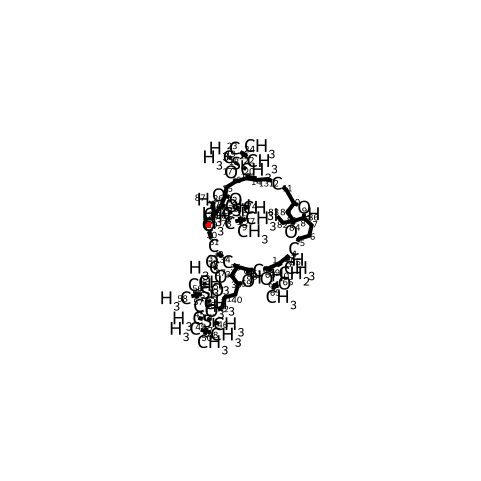 C=C1[C@H](C)CC2CC[C@@H]3OC(CCC/C=C/C(O[Si](C)(C)C(C)(C)C)C4O[C@H]5CCC(CC(=O)CC6[C@@H](OC)C(CC(CO[Si](C)(C)C(C)(C)C)O[Si](C)(C)C(C)(C)C)O[C@H]6C[C@H]1OC(C)=O)OC5[C@H](O)C4O[Si](C)(C)C(C)(C)C)CC3(CI)O2